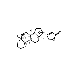 C[C@]12CC[C@H]3[C@@H](CC[C@H]4CCCC[C@@]43CO)[C@@]1(O)CC[C@@H]2C1=CC(=O)OC1